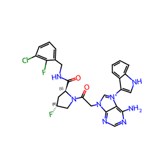 Nc1ncnc2c1[n+](-c1c[nH]c3ccccc13)cn2CC(=O)N1C[C@H](F)C[C@H]1C(=O)NCc1cccc(Cl)c1F